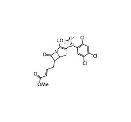 COC(=O)C=CCC1C(=O)N2C(C(=O)O)=C([S+]([O-])c3cc(Cl)c(Cl)cc3Cl)CC12